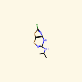 CC(C)NC1=NSc2sc(Cl)nc2N1